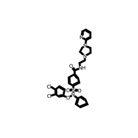 O=C(NCCN1CCN(c2ccccn2)CC1)c1ccc(S(=O)(=O)N(Oc2ccc(Cl)c(Cl)c2)c2ccccc2)cc1